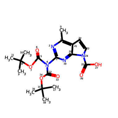 Cc1nc(N(C(=O)OC(C)(C)C)C(=O)OC(C)(C)C)nc2c1ccn2C(=O)O